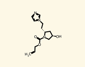 C=CCOC(=O)N1C[C@H](O)C[C@H]1CCn1ccnc1